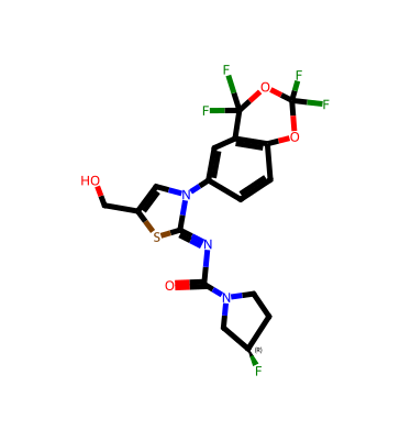 O=C(N=c1sc(CO)cn1-c1ccc2c(c1)C(F)(F)OC(F)(F)O2)N1CC[C@@H](F)C1